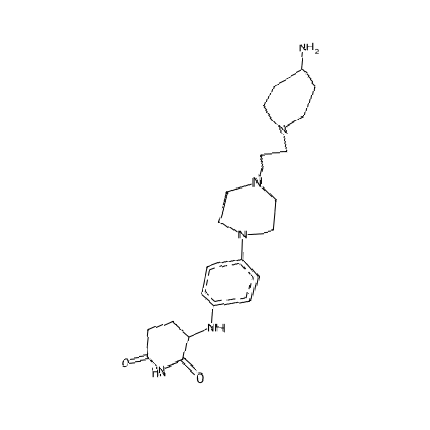 NC1CCN(CCN2CCN(c3ccc(NC4CCC(=O)NC4=O)cc3)CC2)CC1